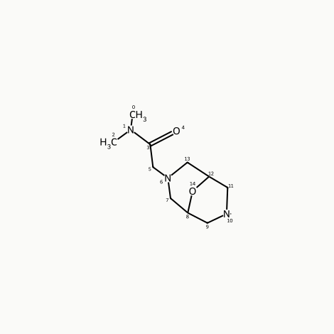 CN(C)C(=O)CN1CC2C[N]CC(C1)O2